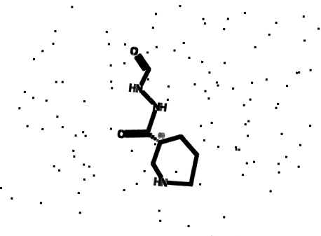 O=CNNC(=O)[C@@H]1CCCNC1